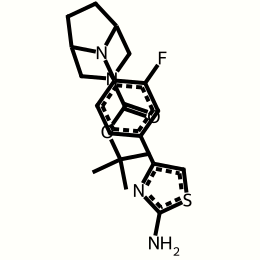 CC(C)(C)OC(=O)N1CC2CCC(C1)N2c1ccc(-c2csc(N)n2)cc1F